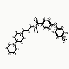 O=C(NCCCN1CCC(N2CCCCC2)CC1)c1ccc(Oc2ccc(Br)cc2)cc1